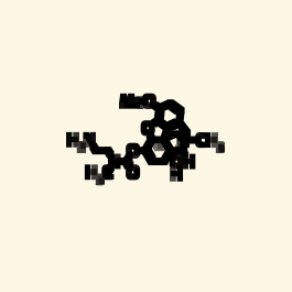 COc1ccc2c3c1OC1C(OC(=O)N(C)CCN)=CCC4(O)[C@@H](C2)N(C)CC[C@]314